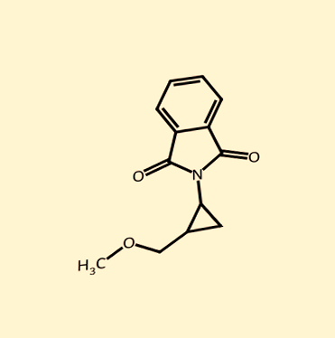 COCC1CC1N1C(=O)c2ccccc2C1=O